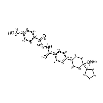 COC1(C2CCCC2)CCN(c2ccc(C(=O)NNC(=O)c3ccc(C(=O)O)cc3)cc2)CC1